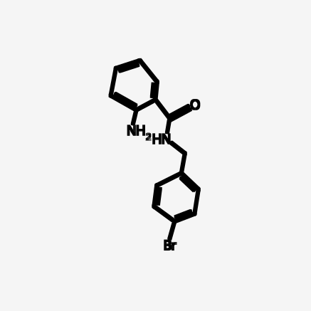 Nc1ccccc1C(=O)NCc1ccc(Br)cc1